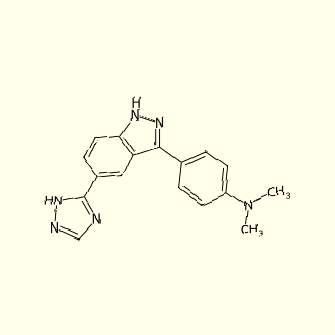 CN(C)c1ccc(-c2n[nH]c3ccc(-c4ncn[nH]4)cc23)cc1